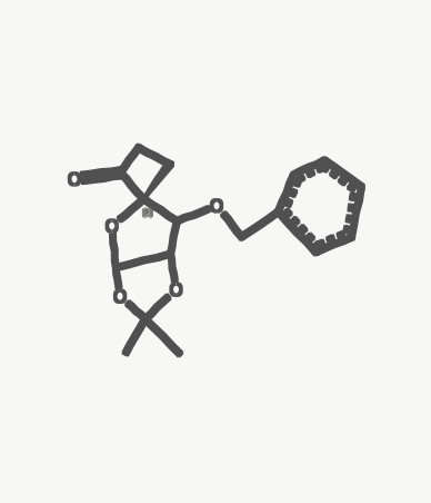 CC1(C)OC2O[C@@]3(CCC3=O)C(OCc3ccccc3)C2O1